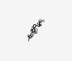 Cc1ccc(-c2ccnc(C(C)(C)O)n2)cc1-n1c(C)nc(OCc2ncc(F)cc2F)c(Br)c1=O